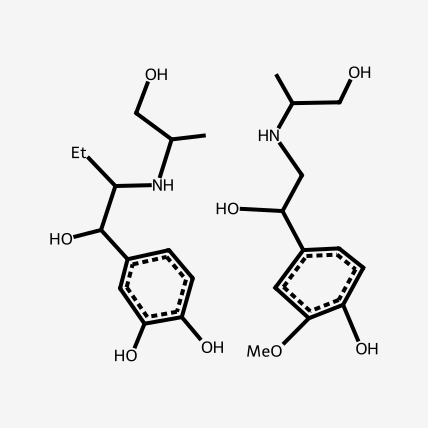 CCC(NC(C)CO)C(O)c1ccc(O)c(O)c1.COc1cc(C(O)CNC(C)CO)ccc1O